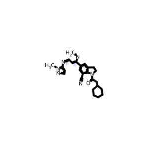 C=N/C(=C\C=N/c1ccnn1C)c1cc(C#N)c2c(c1)CCN2C(=O)CC1CCCCC1